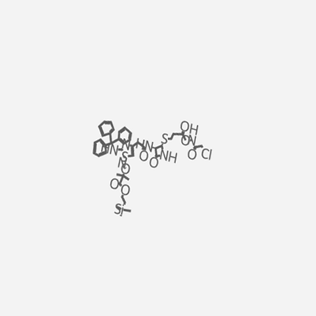 CC(C)(ON=S1C=C(CC(=O)N[C@@H]2C(=O)N[C@@H]2SCCC(=O)ONC(=O)CCl)N=C1NC(c1ccccc1)(c1ccccc1)c1ccccc1)C(=O)OCC[Si](C)(C)C